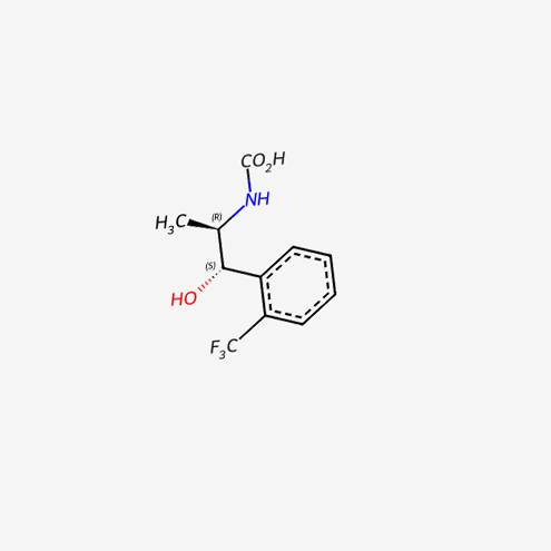 C[C@@H](NC(=O)O)[C@@H](O)c1ccccc1C(F)(F)F